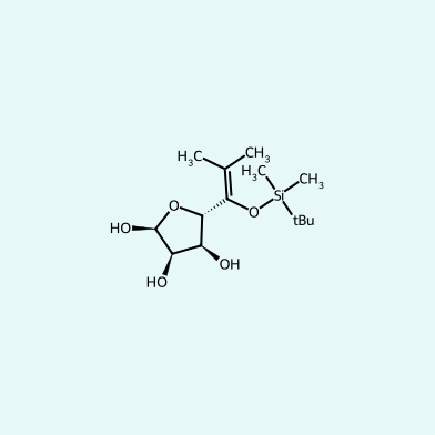 CC(C)=C(O[Si](C)(C)C(C)(C)C)[C@H]1O[C@H](O)[C@H](O)[C@@H]1O